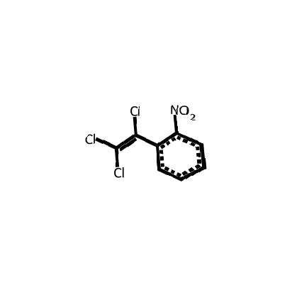 O=[N+]([O-])c1ccccc1C(Cl)=C(Cl)Cl